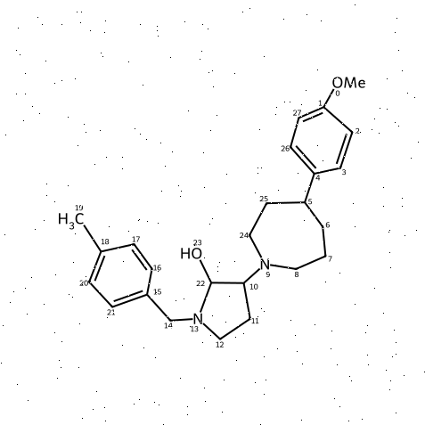 COc1ccc(C2CCCN(C3CCN(Cc4ccc(C)cc4)C3O)CC2)cc1